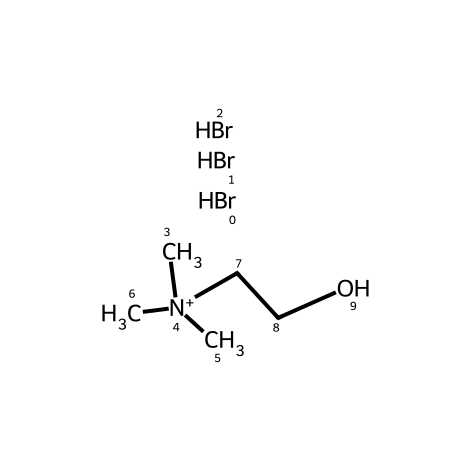 Br.Br.Br.C[N+](C)(C)CCO